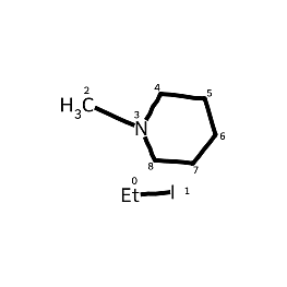 CCI.CN1CCCCC1